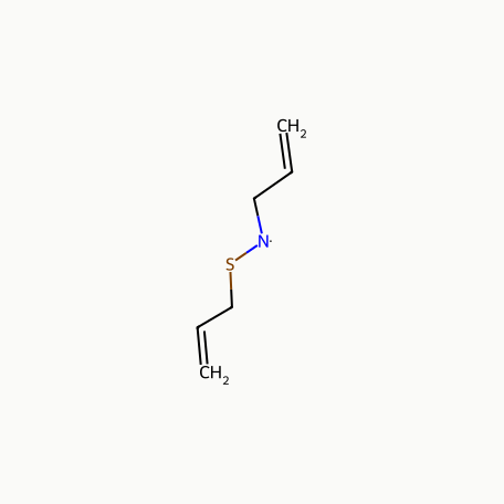 C=CC[N]SCC=C